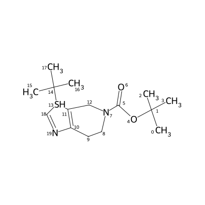 CC(C)(C)OC(=O)N1CCC2=C(C1)[SH](C(C)(C)C)C=N2